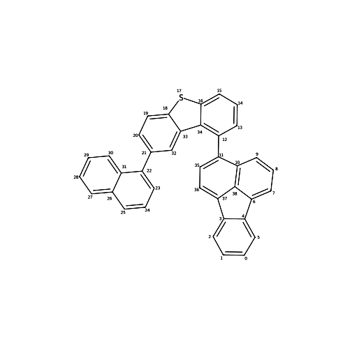 c1ccc2c(c1)-c1cccc3c(-c4cccc5sc6ccc(-c7cccc8ccccc78)cc6c45)ccc-2c13